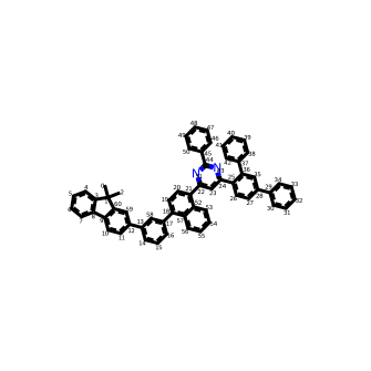 CC1(C)c2ccccc2-c2ccc(-c3cccc(-c4ccc(-c5cc(-c6ccc(-c7ccccc7)cc6-c6ccccc6)nc(-c6ccccc6)n5)c5ccccc45)c3)cc21